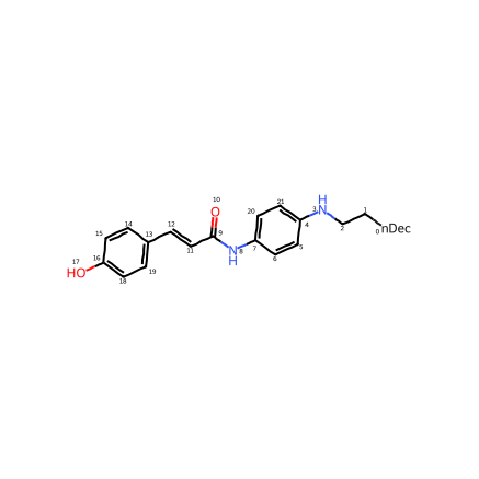 CCCCCCCCCCCCNc1ccc(NC(=O)C=Cc2ccc(O)cc2)cc1